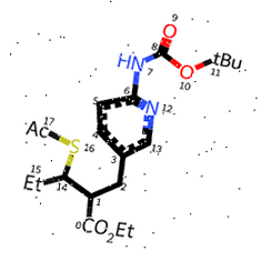 CCOC(=O)C(Cc1ccc(NC(=O)OC(C)(C)C)nc1)C(CC)SC(C)=O